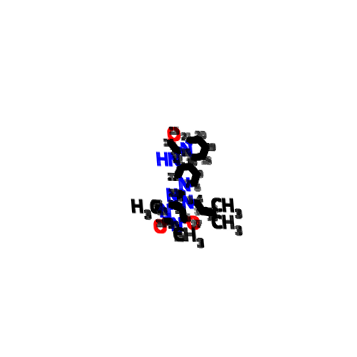 CC(C)=CCn1c(N2CCCC(NC(C=O)N3CCCCC3)C2)nc2c1c(=O)n(C)c(=O)n2C